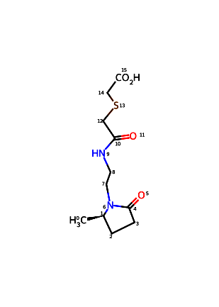 C[C@@H]1CCC(=O)N1CCNC(=O)CSCC(=O)O